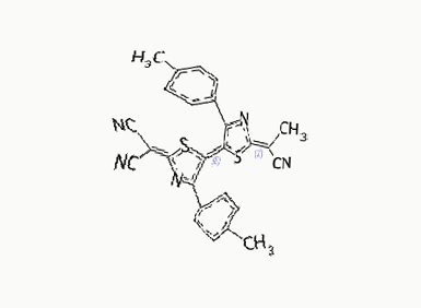 C/C(C#N)=c1\nc(-c2ccc(C)cc2)/c(=c2\sc(=C(C#N)C#N)nc2-c2ccc(C)cc2)s1